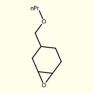 CCCOCC1CCC2OC2C1